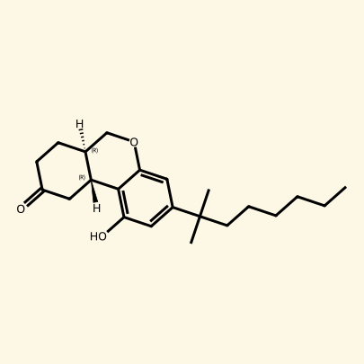 CCCCCCC(C)(C)c1cc(O)c2c(c1)OC[C@@H]1CCC(=O)C[C@@H]21